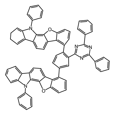 C1=c2c(n(-c3ccccc3)c3c2ccc2c3oc3cccc(-c4ccc(-c5cccc6oc7c(ccc8c9ccccc9n(-c9ccccc9)c87)c56)cc4-c4nc(-c5ccccc5)nc(-c5ccccc5)n4)c32)=CCC1